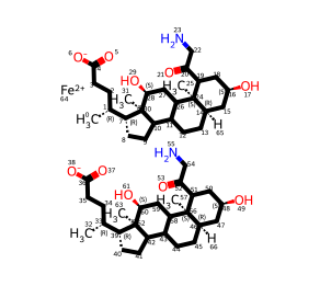 C[C@H](CCC(=O)[O-])[C@H]1CCC2C3CC[C@@H]4C[C@H](O)CC(C(=O)CN)[C@]4(C)C3C[C@H](O)[C@@]21C.C[C@H](CCC(=O)[O-])[C@H]1CCC2C3CC[C@@H]4C[C@H](O)CC(C(=O)CN)[C@]4(C)C3C[C@H](O)[C@@]21C.[Fe+2]